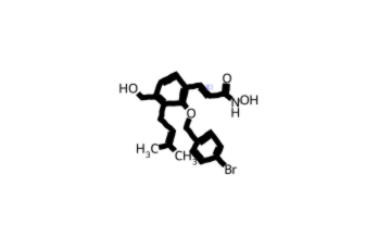 CC(C)=CCc1c(CO)ccc(/C=C/C(=O)NO)c1OCc1ccc(Br)cc1